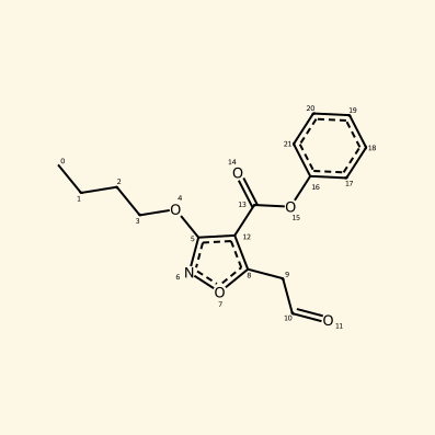 CCCCOc1noc(CC=O)c1C(=O)Oc1ccccc1